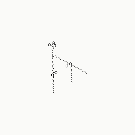 CCCCCCCCCOC(=O)CCCCCCCN(CCCCCCCC(=O)OC(CCCCCCCC)CCCCCCCC)CCCN1CCN(C)C1=O